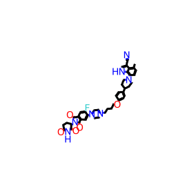 Cc1ccc(N2CCC(c3ccc(OCCCCN4CCN(c5cc6c(cc5F)C(=O)N(C5CCC(=O)NC5=O)C6=O)CC4)cc3)CC2)c2[nH]cc(C#N)c12